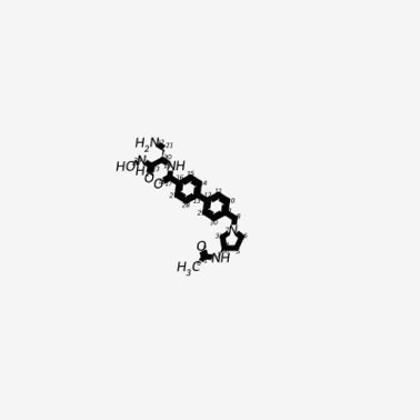 CC(=O)N[C@H]1CCN(Cc2ccc(-c3ccc(C(=O)N[C@@H](CN)C(=O)NO)cc3)cc2)C1